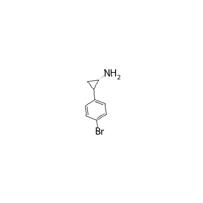 N[C@H]1CC1c1ccc(Br)cc1